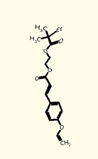 C=COc1ccc(/C=C/C(=O)OCCOC(=O)C(C)(C)CC)cc1